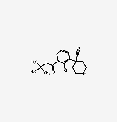 CC(C)(C)OC(=O)N1CC=CC(C2(C#N)CCNCC2)=C1Cl